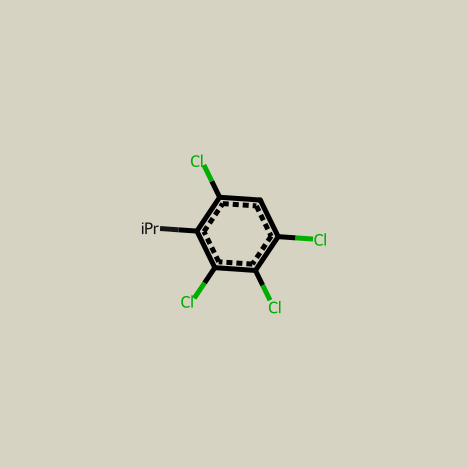 CC(C)c1c(Cl)cc(Cl)c(Cl)c1Cl